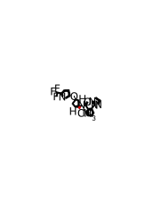 C[C@@H]1[C@H]2C[C@@H](Oc3ccc(C(F)(F)F)nc3)[C@H](C2)N1C(=O)c1ncccc1-n1nccn1